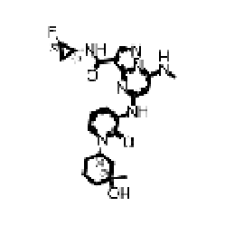 CNc1cc(Nc2cccn([C@H]3CCC[C@@](C)(O)C3)c2=O)nc2c(C(=O)N[C@@H]3C[C@@H]3F)cnn12